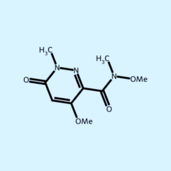 COc1cc(=O)n(C)nc1C(=O)N(C)OC